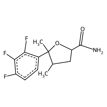 CC1CC(C(N)=O)OC1(C)c1ccc(F)c(F)c1F